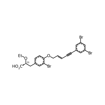 CCO[C@@H](Cc1ccc(OCC=CC#Cc2cc(Br)cc(Br)c2)c(Br)c1)C(=O)O